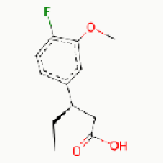 CC[C@H](CC(=O)O)c1ccc(F)c(OC)c1